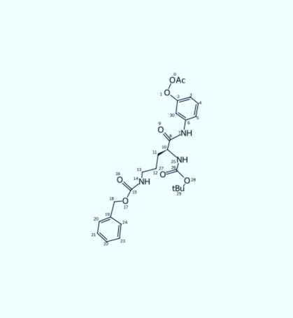 CC(=O)OOc1cccc(NC(=O)[C@H](CCCNC(=O)OCc2ccccc2)NC(=O)OC(C)(C)C)c1